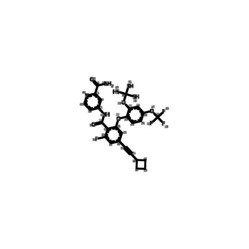 NC(=O)c1cc(NC(=O)c2c(F)cc(C#CC3CCC3)cc2Oc2ccc(OC(F)(F)F)cc2OC(S)(S)S)ccn1